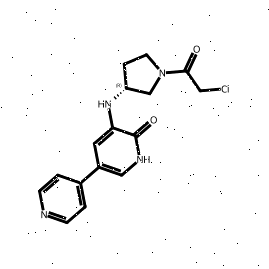 O=C(CCl)N1CC[C@@H](Nc2cc(-c3ccncc3)c[nH]c2=O)C1